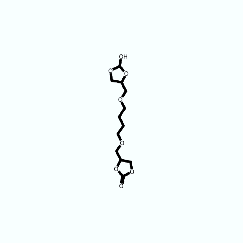 O=C1OCC(COCCCCOCC2COC(O)O2)O1